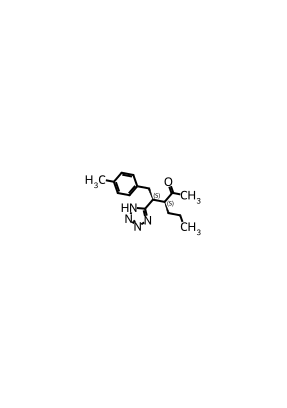 CCC[C@H](C(C)=O)[C@H](Cc1ccc(C)cc1)c1nnn[nH]1